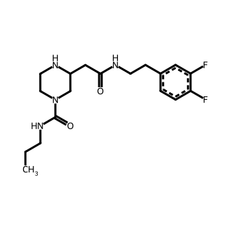 CCCNC(=O)N1CCNC(CC(=O)NCCc2ccc(F)c(F)c2)C1